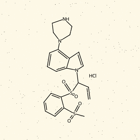 C=CC(n1ccc2c(N3CCNCC3)cccc21)S(=O)(=O)c1ccccc1S(C)(=O)=O.Cl